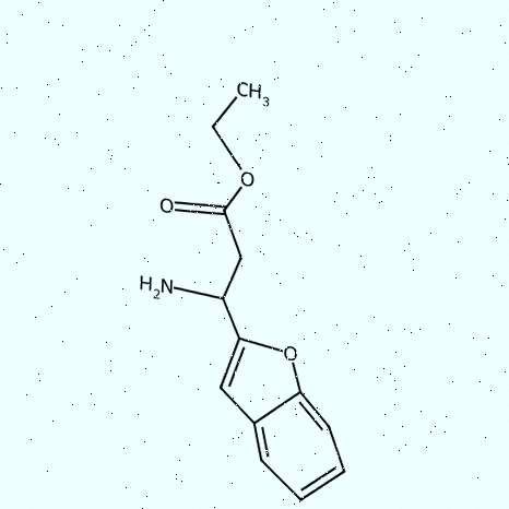 CCOC(=O)CC(N)c1cc2ccccc2o1